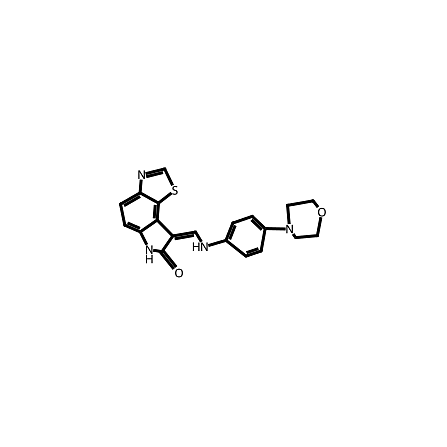 O=C1Nc2ccc3ncsc3c2C1=CNc1ccc(N2CCOCC2)cc1